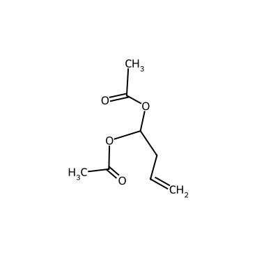 C=CCC(OC(C)=O)OC(C)=O